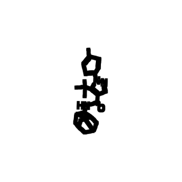 Cc1ccc(-n2ncc(C(=O)NC3C4CC5CC(C4)CC3C5)c2C(C)(C)C)cc1